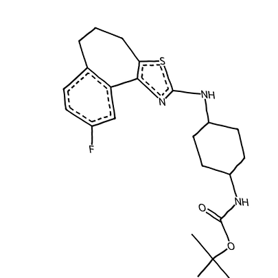 CC(C)(C)OC(=O)NC1CCC(Nc2nc3c(s2)CCCc2ccc(F)cc2-3)CC1